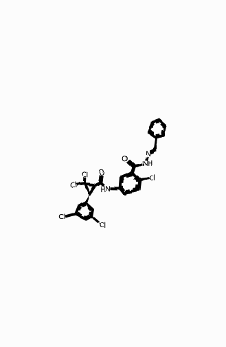 O=C(NN=Cc1ccccc1)c1cc(NC(=O)C2[C@@H](c3cc(Cl)cc(Cl)c3)C2(Cl)Cl)ccc1Cl